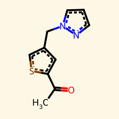 CC(=O)c1cc(Cn2cccn2)cs1